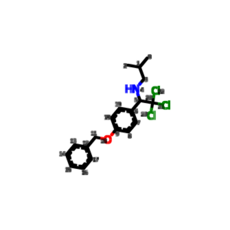 CC(C)CNC(c1ccc(OCc2ccccc2)cc1)C(Cl)(Cl)Cl